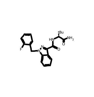 CC(C)(C)[C@H](NC(=O)c1nn(Cc2ccccc2F)c2ccccc12)C(N)=O